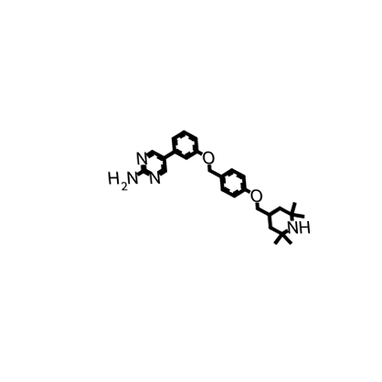 CC1(C)CC(COc2ccc(COc3cccc(-c4cnc(N)nc4)c3)cc2)CC(C)(C)N1